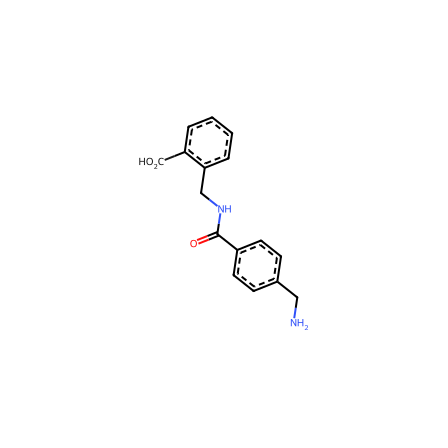 NCc1ccc(C(=O)NCc2ccccc2C(=O)O)cc1